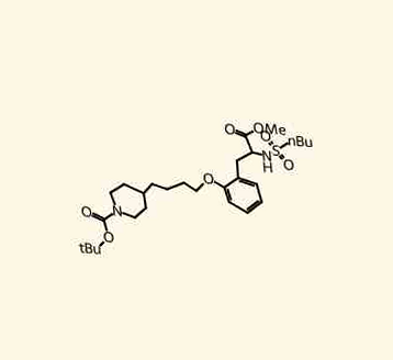 CCCCS(=O)(=O)NC(Cc1ccccc1OCCCCC1CCN(C(=O)OC(C)(C)C)CC1)C(=O)OC